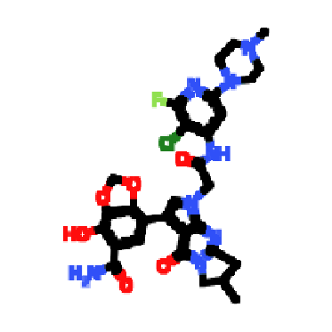 CC1Cc2nc3c(c(-c4cc(C(N)=O)c(O)c5c4OCO5)cn3CC(=O)Nc3cc(N4CCN(C)CC4)nc(F)c3Cl)c(=O)n2C1